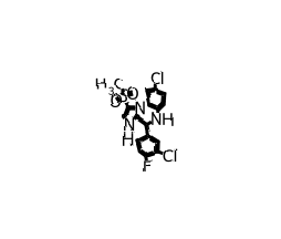 CS(=O)(=O)c1c[nH]c(C(Nc2ccc(Cl)cc2)c2ccc(F)c(Cl)c2)n1